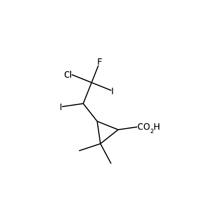 CC1(C)C(C(=O)O)C1C(I)C(F)(Cl)I